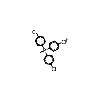 C[P+](c1ccc(Cl)cc1)(c1ccc(Cl)cc1)c1ccc(Cl)cc1.[I-]